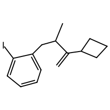 C=C(C(C)Cc1ccccc1I)C1CCC1